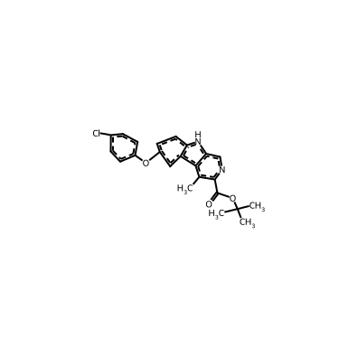 Cc1c(C(=O)OC(C)(C)C)ncc2[nH]c3ccc(Oc4ccc(Cl)cc4)cc3c12